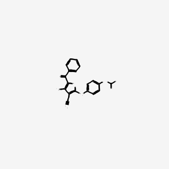 N#Cc1c(Nc2ccc(OC(F)F)cc2)sc(C(=O)c2ccccc2)c1N